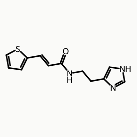 O=C(C=Cc1cccs1)NCCc1c[nH]cn1